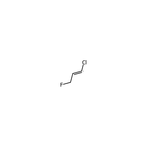 FC/C=[C]/Cl